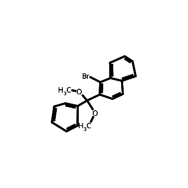 COC(OC)(c1ccccc1)c1ccc2ccccc2c1Br